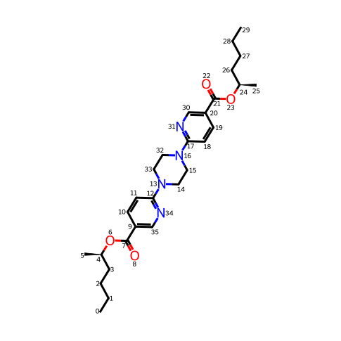 CCCC[C@@H](C)OC(=O)c1ccc(N2CCN(c3ccc(C(=O)O[C@H](C)CCCC)cn3)CC2)nc1